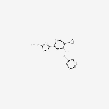 CC(C)(C)c1noc(-c2cc(OCc3cccnc3)c(C3CC3)cn2)n1